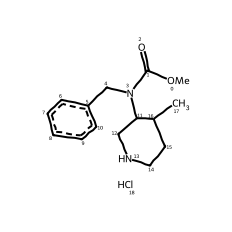 COC(=O)N(Cc1ccccc1)C1CNCCC1C.Cl